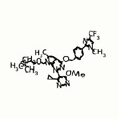 COc1ncnc(C2CC2)c1-c1nc(OCc2ccc(-c3nc(C(F)(F)F)cn3C)cc2)c2cc(C)n(COCC[Si](C)(C)C)c2n1